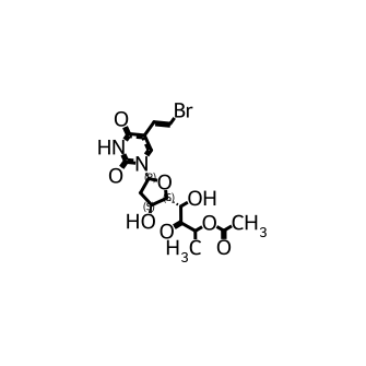 CC(=O)OC(C)C(=O)C(O)[C@H]1O[C@@H](n2cc(C=CBr)c(=O)[nH]c2=O)C[C@@H]1O